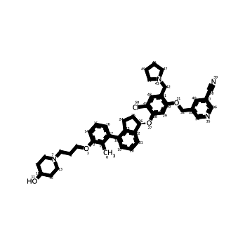 Cc1c(OCCCN2CCC(O)CC2)cccc1-c1cccc2c1CC[C@@H]2Oc1cc(OCc2cncc(C#N)c2)c(CN2CCCC2)cc1Cl